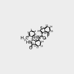 Cc1ccccc1C1NC(=O)c2cccc(NC(=O)c3csc4cccc(F)c34)c21